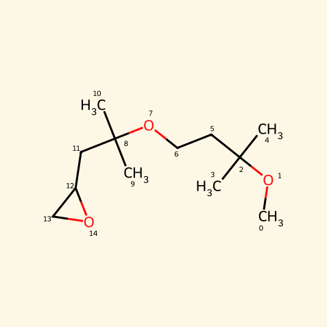 COC(C)(C)CCOC(C)(C)CC1CO1